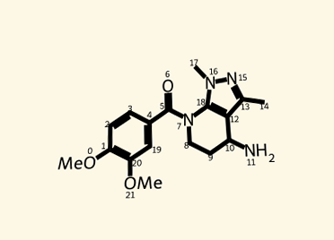 COc1ccc(C(=O)N2CCC(N)c3c(C)nn(C)c32)cc1OC